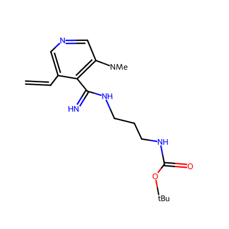 C=Cc1cncc(NC)c1C(=N)NCCCNC(=O)OC(C)(C)C